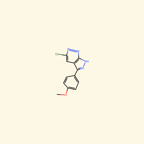 COc1ccc(-c2n[nH]c3nnc(Cl)cc23)cc1